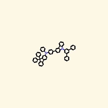 c1ccc(-c2cc(-c3ccccc3)cc(-n3c4ccccc4c4cc(-c5ccc(N(c6ccccc6)c6ccc7c(c6)C(c6ccccc6)(c6ccccc6)c6ccccc6-7)cc5)ccc43)c2)cc1